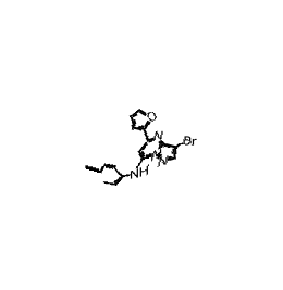 C=C/C=C\C(=C/C)Nc1cc(-c2ccco2)nc2c(Br)cnn12